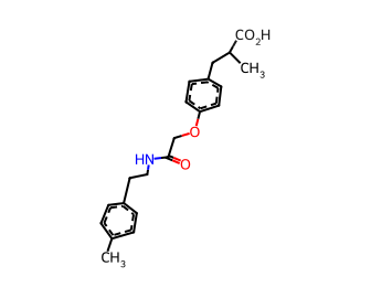 Cc1ccc(CCNC(=O)COc2ccc(CC(C)C(=O)O)cc2)cc1